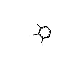 CCCc1c(F)cccc1P